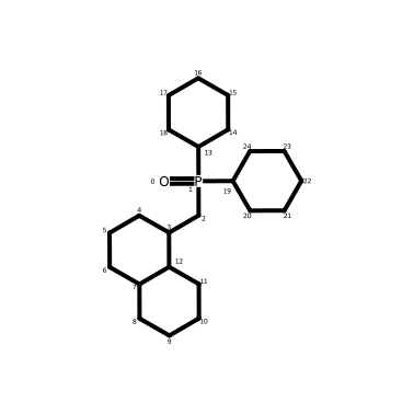 O=P(CC1CCCC2CCCCC21)(C1CCCCC1)C1CCCCC1